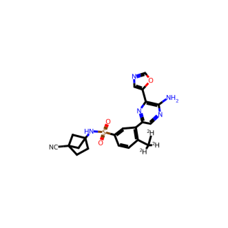 [2H]C([2H])([2H])c1ccc(S(=O)(=O)NC23CCC(C#N)(C2)C3)cc1-c1cnc(N)c(-c2cnco2)n1